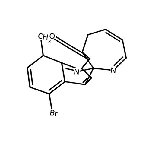 CC1C=CC(Br)=C2C3=CCC(=O)C4CC=CC=NC34N=C21